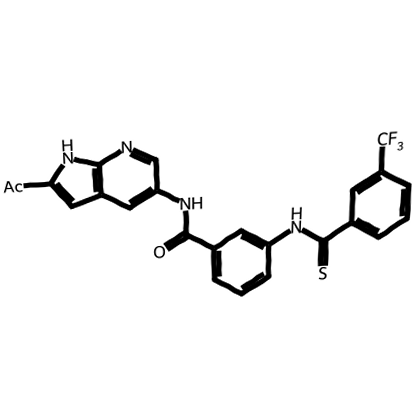 CC(=O)c1cc2cc(NC(=O)c3cccc(NC(=S)c4cccc(C(F)(F)F)c4)c3)cnc2[nH]1